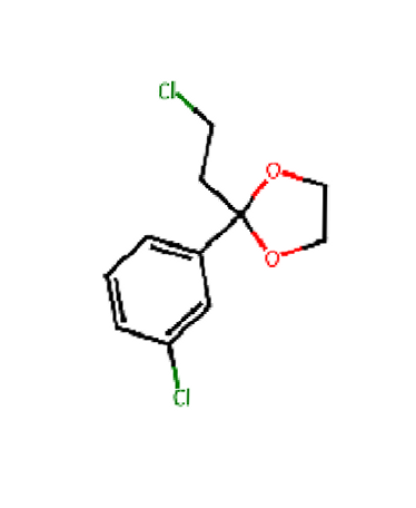 ClCCC1(c2cccc(Cl)c2)OCCO1